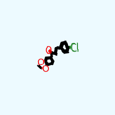 O=C(C=Cc1ccc(Cl)cc1)c1ccc2c(c1)OCCO2